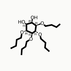 CCCCO[C@@H]1[C@@H](OCCCC)[C@H](OCCCC)[C@@H](O)[C@@H](O)[C@H]1OCCCC